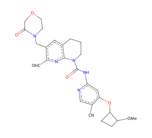 COC1CCC1Oc1cc(NC(=O)N2CCCc3cc(CN4CCOCC4=O)c(C=O)nc32)ncc1C#N